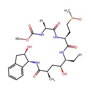 CC(C)C[C@H](NC(=O)[C@H](CC[S+](C)[O-])NC(=O)[C@@H](NC(=O)OC(C)(C)C)C(C)C)[C@@H](O)C[C@@H](C)C(=O)N[C@H]1c2ccccc2C[C@H]1O